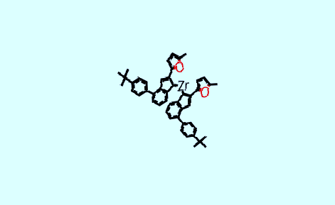 Cc1ccc(C2=Cc3c(-c4ccc(C(C)(C)C)cc4)cccc3[CH]2[Zr][CH]2C(c3ccc(C)o3)=Cc3c(-c4ccc(C(C)(C)C)cc4)cccc32)o1